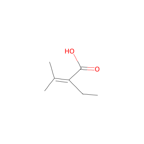 CCC(C(=O)O)=C(C)C